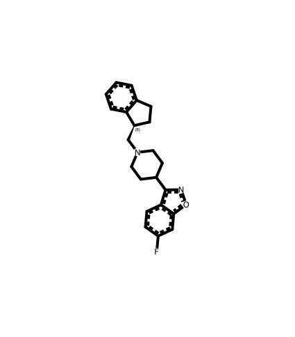 Fc1ccc2c(C3CCN(C[C@@H]4CCc5ccccc54)CC3)noc2c1